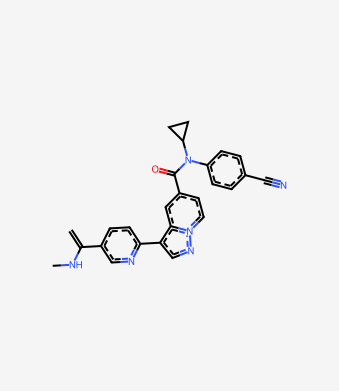 C=C(NC)c1ccc(-c2cnn3ccc(C(=O)N(c4ccc(C#N)cc4)C4CC4)cc23)nc1